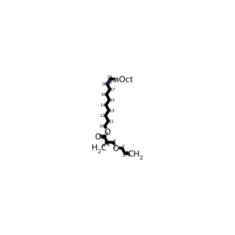 C=CCOCC(=C)C(=O)OCCCCCCCC/C=C\CCCCCCCC